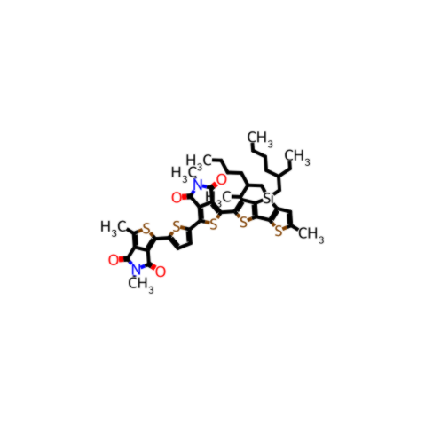 CCCCC(CC)C[Si]1(CC(CC)CCCC)c2cc(C)sc2-c2sc(-c3sc(-c4ccc(-c5sc(C)c6c5C(=O)N(C)C6=O)s4)c4c3C(=O)N(C)C4=O)cc21